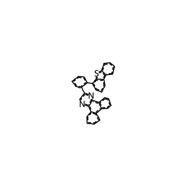 c1ccc(-c2cccc3c2sc2ccccc23)c(-c2cnc3c4ccccc4c4ccccc4c3n2)c1